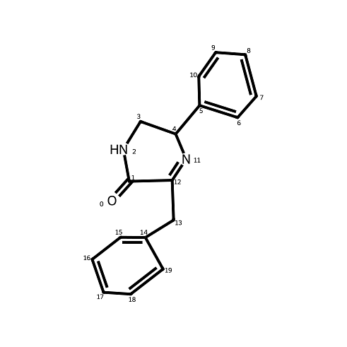 O=C1NCC(c2ccccc2)N=C1Cc1ccccc1